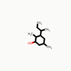 CCC(C)C1CC(C)CC(O)C1C